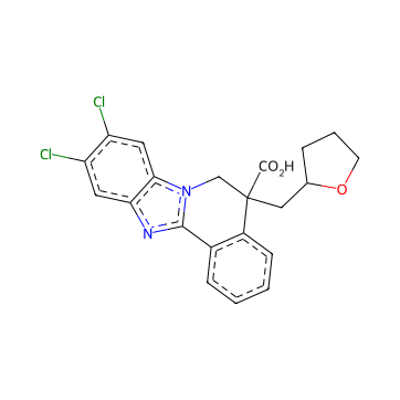 O=C(O)C1(CC2CCCO2)Cn2c(nc3cc(Cl)c(Cl)cc32)-c2ccccc21